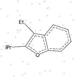 CCc1c(C(C)C)oc2ccccc12